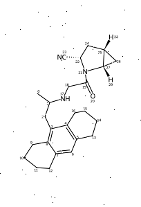 CC(Cc1c2c(cc3c1CCCC3)CCCC2)NCC(=O)N1[C@H](C#N)C[C@@H]2C[C@@H]21